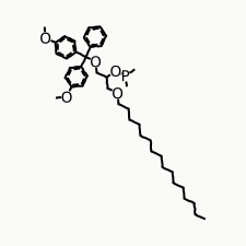 CCCCCCCCCCCCCCCCOCC(COC(c1ccccc1)(c1ccc(OC)cc1)c1ccc(OC)cc1)OP(C)C